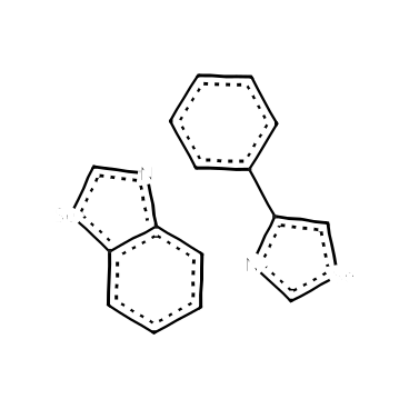 c1ccc(-c2c[se]cn2)cc1.c1ccc2[se]cnc2c1